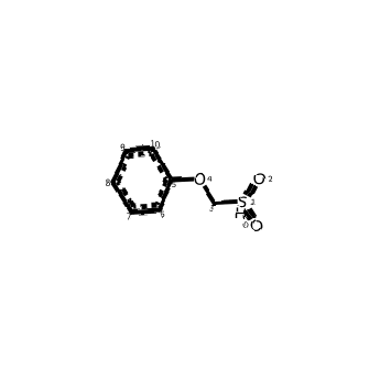 O=[SH](=O)COc1ccccc1